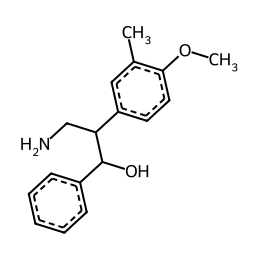 COc1ccc(C(CN)C(O)c2ccccc2)cc1C